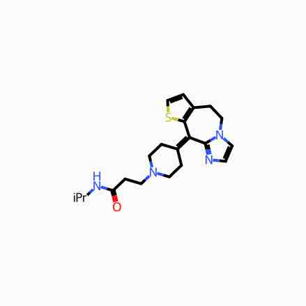 CC(C)NC(=O)CCN1CCC(=C2c3sccc3CCn3ccnc32)CC1